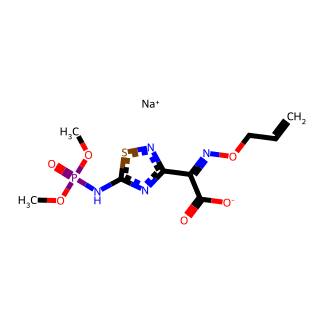 C=CCON=C(C(=O)[O-])c1nsc(NP(=O)(OC)OC)n1.[Na+]